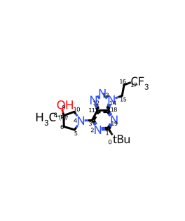 CC(C)(C)c1nc(N2CC[C@@](C)(O)C2)c2nnn(CCC(F)(F)F)c2n1